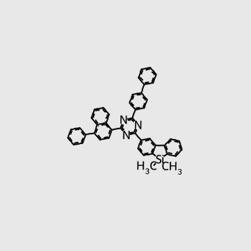 C[Si]1(C)c2ccccc2-c2cc(-c3nc(-c4ccc(-c5ccccc5)cc4)nc(-c4ccc(-c5ccccc5)c5ccccc45)n3)ccc21